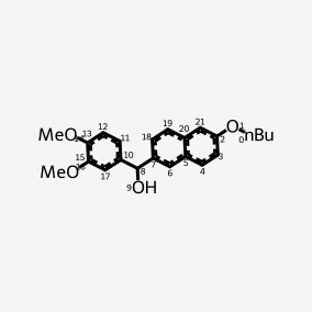 CCCCOc1ccc2cc(C(O)c3ccc(OC)c(OC)c3)ccc2c1